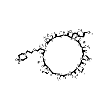 C/C=C/C[C@@H](C)[C@@H](O)[C@H]1C(=O)N[C@@H](CC)C(=O)N(C)[C@H](C)C(=O)N[C@@H]([C@H](C)COCCN2CCS(=O)(=O)CC2)C(=O)N[C@@H](C(C)C)C(=O)N(C)[C@@H](CC(C)C)C(=O)N[C@@H](C)C(=O)N[C@H](C)C(=O)N(C)[C@@H](CC(C)C)C(=O)N(C)[C@@H](CC(C)C)C(=O)N(C)[C@@H](C(C)C)C(=O)N1C